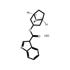 CN1[C@@H]2CC[C@H]1CC(OC(=O)C1C=Nc3ccccc31)C2.Cl